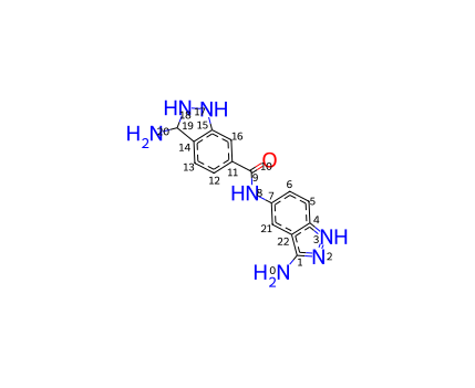 Nc1n[nH]c2ccc(NC(=O)c3ccc4c(c3)NNC4N)cc12